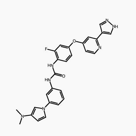 CN(C)c1ccn(-c2cccc(NC(=O)Nc3ccc(Oc4ccnc(-c5cn[nH]c5)c4)cc3F)c2)c1